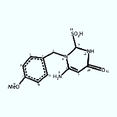 COc1ccc(CN2C(N)=CC(=O)NC2S(=O)(=O)O)cc1